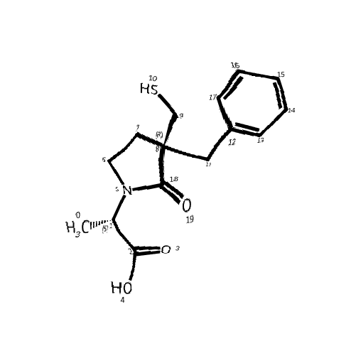 C[C@@H](C(=O)O)N1CC[C@](CS)(Cc2ccccc2)C1=O